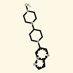 CN1CCN(C2CCN(c3cnc4ccnn4c3)CC2)CC1